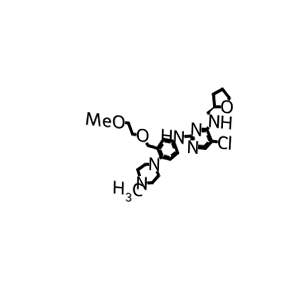 COCCOCc1cc(Nc2ncc(Cl)c(NC[C@H]3CCCO3)n2)ccc1N1CCN(C)CC1